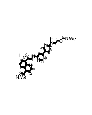 CNCOCCNc1ncc(-c2cc(NC[C@@H](C)c3cccc4c(C(=O)NC)c(F)cnc34)ncn2)cn1